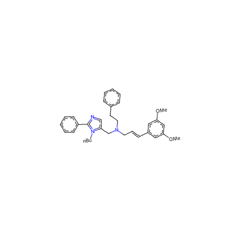 CCCCn1c(CN(CC=Cc2cc(OC)cc(OC)c2)CCc2ccccc2)cnc1-c1ccccc1